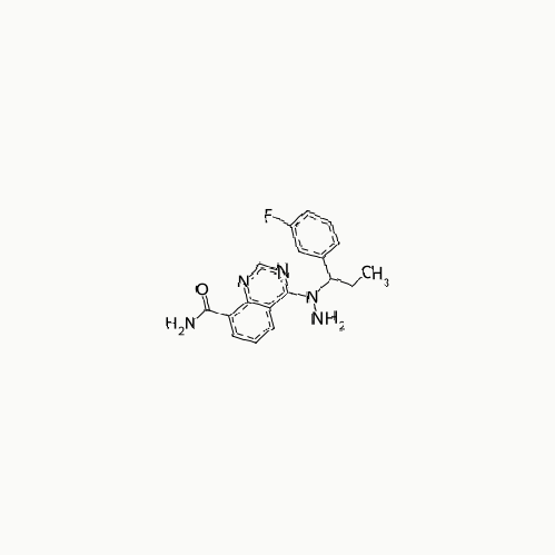 CCC(c1cccc(F)c1)N(N)c1ncnc2c(C(N)=O)cccc12